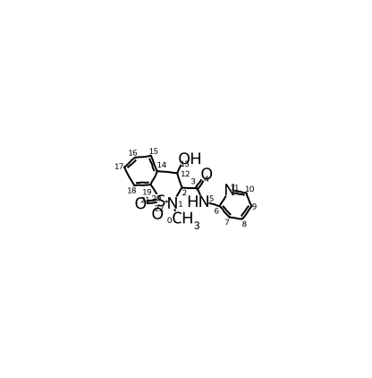 CN1C(C(=O)Nc2ccccn2)C(O)c2ccccc2S1(=O)=O